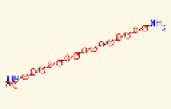 CC(C)(C)OC(=O)NCCOCCOCCOCCOCCOCCOCCOCCOCCOCCOCCOCCOCCOCCOCCOCCN